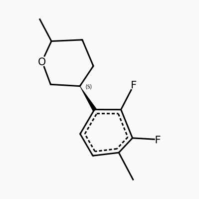 Cc1ccc([C@@H]2CCC(C)OC2)c(F)c1F